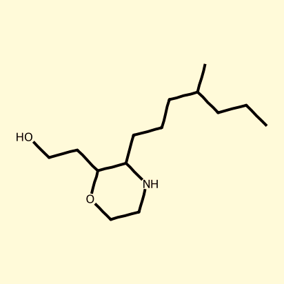 CCCC(C)CCCC1NCCOC1CCO